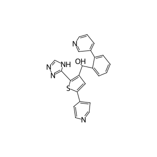 OC(c1ccccc1-c1cccnc1)c1cc(-c2ccncc2)sc1-c1nnc[nH]1